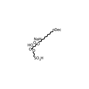 CCCCCCCCCCCCCCCCCCCCOC(=O)CC(O)C(=O)OCCCS(=O)(=O)O.[NaH]